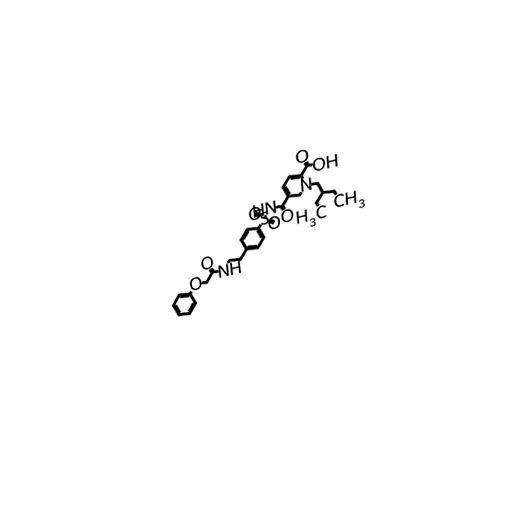 CCC(CC)CN1CC(C(=O)NS(=O)(=O)c2ccc(CCNC(=O)COc3ccccc3)cc2)=CC=C1C(=O)O